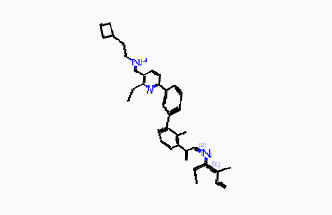 C=C/C(C)=C(CC)/N=C\C(=C)c1cccc(-c2cccc(-c3ccc(CNCCC4CCC4)c(CC)n3)c2)c1C